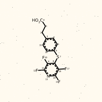 O=C(O)CCc1ccc(Sc2c(F)c(F)nc(F)c2F)cc1